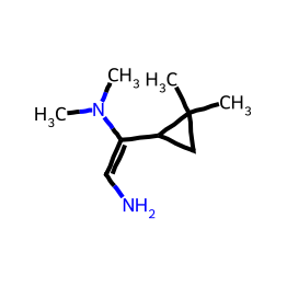 CN(C)/C(=C/N)C1CC1(C)C